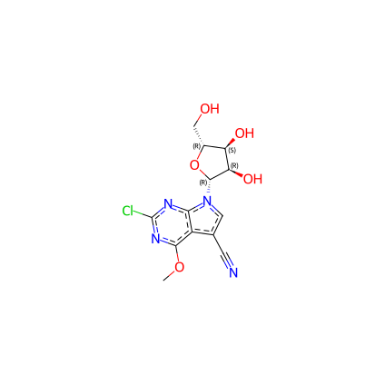 COc1nc(Cl)nc2c1c(C#N)cn2[C@@H]1O[C@H](CO)[C@@H](O)[C@H]1O